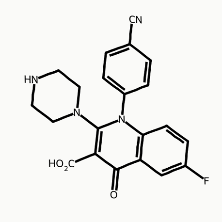 N#Cc1ccc(-n2c(N3CCNCC3)c(C(=O)O)c(=O)c3cc(F)ccc32)cc1